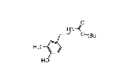 Cc1cc(CCNC(=O)OC(C)(C)C)ccc1O